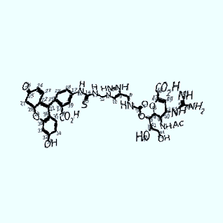 CC(=O)N[C@H]1[C@H]([C@H](OC(=O)NCC2=CN(CNC(=S)Nc3ccc(-c4c5ccc(=O)cc-5oc5cc(O)ccc45)c(C(=O)O)c3)NN2)[C@H](O)CO)OC(C(=O)O)=C[C@@H]1NC(=N)N